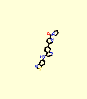 O=C(c1ccc(-c2ccc3c(Nc4ccc5scnc5c4)ccnc3c2)cn1)N1CCCC1